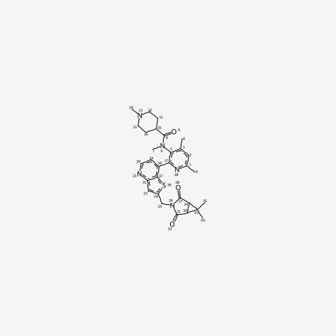 Cc1cc(C)c(N(C)C(=O)C2CCN(C)CC2)c(-c2ccnc3cc(CN4C(=O)C5C(C4=O)C5(C)C)sc23)n1